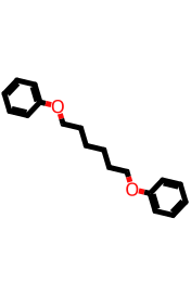 c1ccc(OCCCCCCOc2ccccc2)cc1